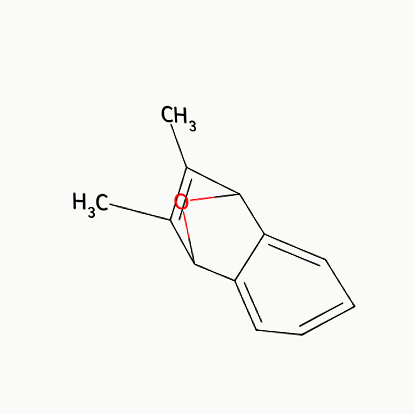 CC1=C(C)C2OC1c1ccccc12